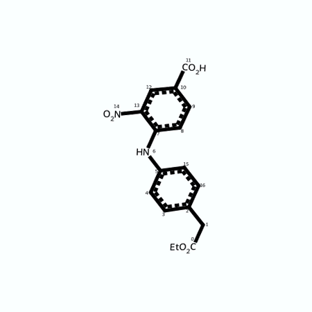 CCOC(=O)Cc1ccc(Nc2ccc(C(=O)O)cc2[N+](=O)[O-])cc1